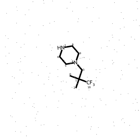 CC(C)(CN1CCNCC1)C(F)(F)F